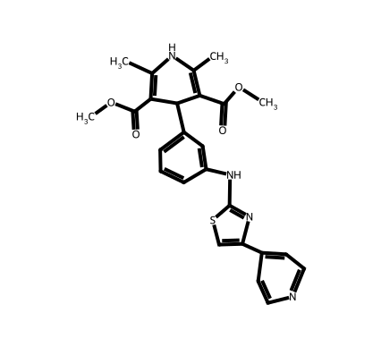 COC(=O)C1=C(C)NC(C)=C(C(=O)OC)C1c1cccc(Nc2nc(-c3ccncc3)cs2)c1